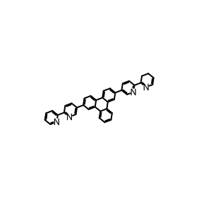 C1=CN=C(c2ccc(-c3ccc4c5ccc(-c6ccc(-c7ccccn7)nc6)cc5c5ccccc5c4c3)cn2)CC1